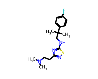 CN(C)CCc1nsc(NCC(C)(C)c2ccc(F)cc2)n1